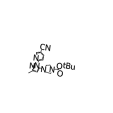 Cc1cc(N2CCN(C(=O)OC(C)(C)C)CC2)n(-c2ccc(C#N)cn2)n1